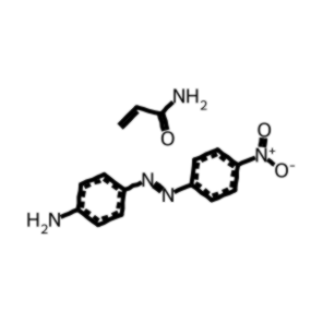 C=CC(N)=O.Nc1ccc(/N=N/c2ccc([N+](=O)[O-])cc2)cc1